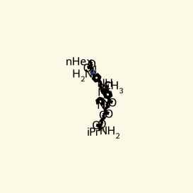 CCCCCCOC(=O)/N=C(\N)c1ccc(NCc2nc3cc(C(=O)N(CCC(=O)OCCOC(=O)[C@H](N)C(C)C)c4ccccn4)ccc3n2C)cc1